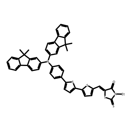 CCN1C(=O)/C(=C/c2ccc(-c3ccc(-c4ccc(N(c5ccc6c(c5)C(C)(C)c5ccccc5-6)c5ccc6c(c5)C(C)(C)c5ccccc5-6)cc4)s3)s2)SC1=S